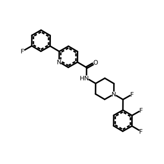 O=C(NC1CCN(C(F)c2cccc(F)c2F)CC1)c1ccc(-c2cccc(F)c2)nc1